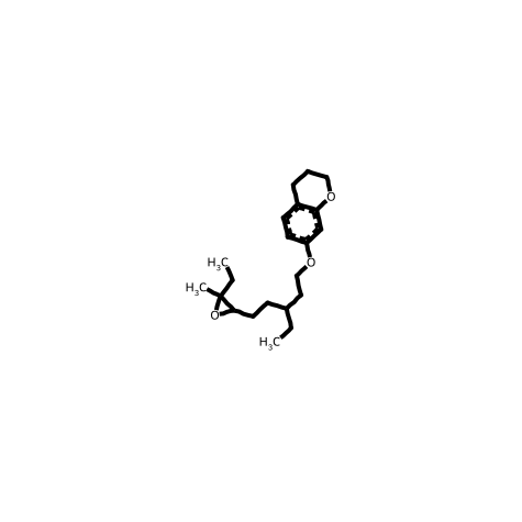 CCC(CCOc1ccc2c(c1)OCCC2)CCC1OC1(C)CC